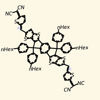 [C-]#[N+]C([N+]#[C-])=c1cc/c(=C\c2cc3sc4c(c3s2)C(c2ccc(CCCCCC)cc2)(c2ccc(CCCCCC)cc2)c2cc3c(cc2-4)C(c2ccc(CCCCCC)cc2)(c2ccc(CCCCCC)cc2)c2c-3sc3cc(/C=c4\ccc(=C(C#N)C#N)s4)sc23)s1